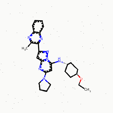 CCO[C@H]1CC[C@H](Nc2cc(N3CCCC3)nc3cc(-c4nc5ccccc5nc4C)nn23)CC1